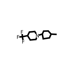 CC1CCC(N2CCC(C(F)(F)F)CC2)CC1